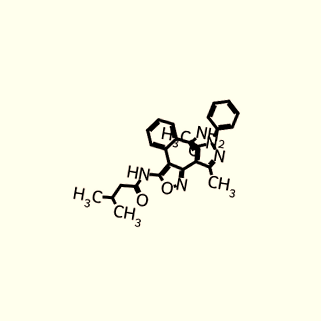 Cc1nn(-c2ccccc2)c(C)c1-c1noc(NC(=O)CC(C)C)c1-c1ccccc1C(N)=O